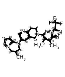 Cc1c(N2CCc3ncc(N4CC(C)Cn5nccc54)cc3C2)nn2c(C(F)(F)F)nnc2c1C